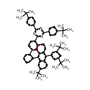 CC(C)(C)c1ccc(-c2nc(-c3ccc(-c4ccccc4-c4c5ccccc5c(-c5cc(C(C)(C)C)cc(C(C)(C)C)c5)c5ccc(C(C)(C)C)cc45)cc3)nc(-c3ccc(C(C)(C)C)cc3)n2)cc1